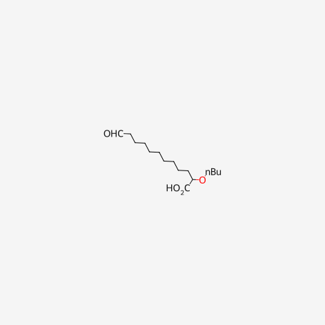 CCCCOC(CCCCCCCCCC=O)C(=O)O